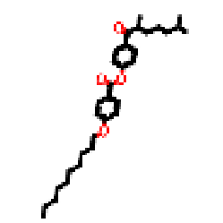 CCCCCCCCCCOc1ccc(C(=O)Oc2ccc(C(=O)C(C)CCCC(C)C)cc2)cc1